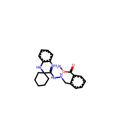 NOC(=O)c1ccccc1CNNC1=Nc2ccccc2NC12CCCCC2